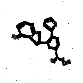 Nc1cnnc2cc(-c3cc(B(O)OC=O)ccc3-c3ncco3)ccc12